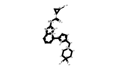 O=C(Nc1nc2cccc(-c3ccc(CN4CCC(F)(F)CC4)s3)n2n1)[C@@H]1C[C@H]1F